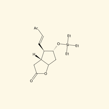 CC[Si](CC)(CC)O[C@@H]1CC2OC(=O)C[C@@H]2[C@H]1/C=C/C(C)=O